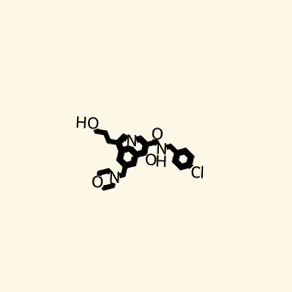 O=C(NCc1ccc(Cl)cc1)c1cn2cc(CCCO)c3cc(CN4CCOCC4)cc(c1=O)c32